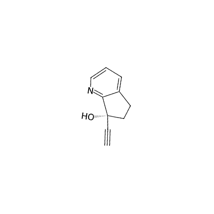 C#C[C@]1(O)CCc2cccnc21